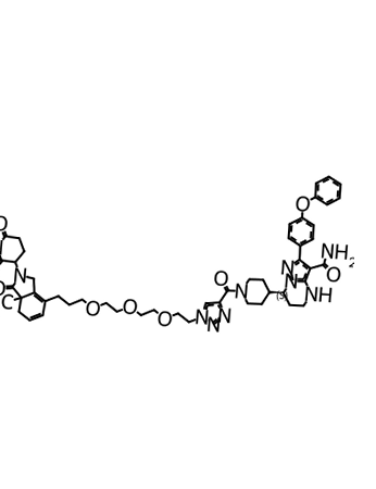 CC12CC=CC(CCCOCCOCCOCCn3cc(C(=O)N4CCC([C@@H]5CCNc6c(C(N)=O)c(-c7ccc(Oc8ccccc8)cc7)nn65)CC4)nn3)=C1CN(C1CCC(=O)NC1=O)C2=O